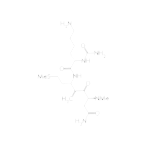 C=C(C(=O)[C@H](CC(N)=O)NC)[C@H](CCSC)NC(=O)[C@H](CCCCN)NC(N)=O